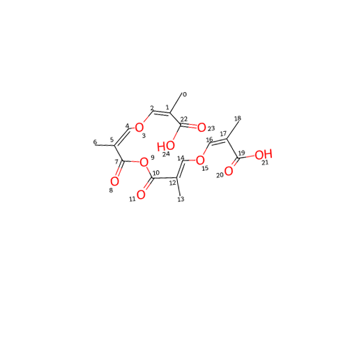 CC(=COC=C(C)C(=O)OC(=O)C(C)=COC=C(C)C(=O)O)C(=O)O